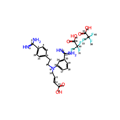 N=C(N)c1ccc(CCN(CC=CC(=O)O)c2cccc(C(=N)N)c2)cc1.O=C(O)C(F)(F)F.O=C(O)C(F)(F)F